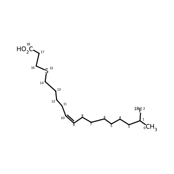 CC([18F])CCCCCC/C=C\CCCCSCCC(=O)O